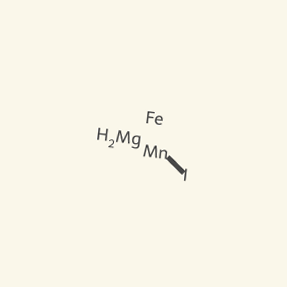 [Fe].[MgH2].[Mn][I]